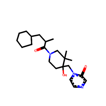 CC(CC1CCCCC1)C(=O)N1CCC(O)(Cn2ccncc2=O)C(C)(C)C1